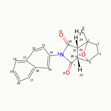 CC12CCC(O1)[C@@H]1C(=O)N(c3ccc4ccccc4c3)C(=O)[C@@H]12